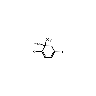 COC1(C(=O)O)CC(Cl)=CC=C1Cl